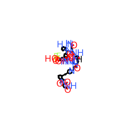 NC(=O)CC[C@H](NC(=O)[C@@H]1CC[C@@H]2CCN(C(=O)CCN3CCC(C#Cc4cccc5c4CN(C4CCC(=O)NC4=O)C5=O)CC3)C[C@H](NC(=O)c3cc4cc(C(F)(F)P(=O)(O)O)ccc4[nH]3)C(=O)N21)C(=O)NC(c1ccccc1)c1ccccc1